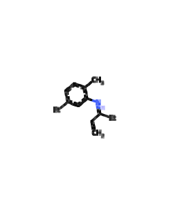 C=C/C(CC)=N\c1cc(CC)ccc1C